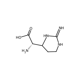 N=C1NCCC([C@H](N)C(=O)O)N1